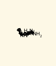 Nc1nc(N)n(-c2ccc(N3CCC(C4NCC5CN(C6CCCCC6)CC54)CC3)c(F)c2)n1